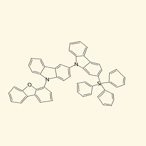 c1ccc([Si](c2ccccc2)(c2ccccc2)c2ccc3c4ccccc4n(-c4ccc5c(c4)c4ccccc4n5-c4cccc5c4oc4ccccc45)c3c2)cc1